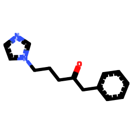 O=C(CCCn1ccnc1)Cc1ccccc1